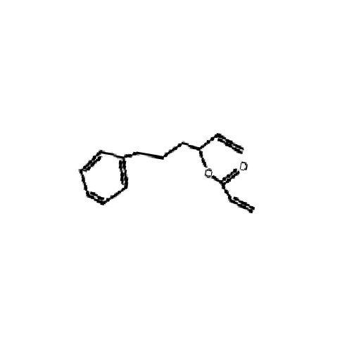 C=CC(=O)OC(C=C)CCCc1ccccc1